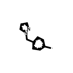 [CH2]c1ccc(Cn2cccn2)cc1